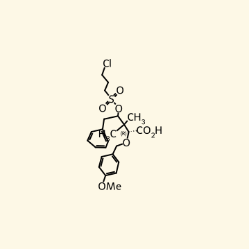 COc1ccc(CO[C@@H](C(=O)O)C(C)(C)C(Cc2ccccc2)OS(=O)(=O)CCCCl)cc1